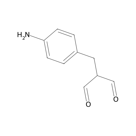 Nc1ccc(CC(C=O)C=O)cc1